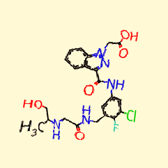 C[C@@H](CO)NCC(=O)NCc1cc(NC(=O)c2nn(CC(=O)O)c3ccccc23)cc(Cl)c1F